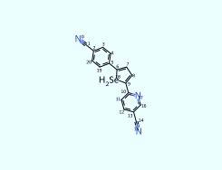 N#Cc1ccc(C2=CC=C(c3ccc(C#N)cn3)[SeH2]2)cc1